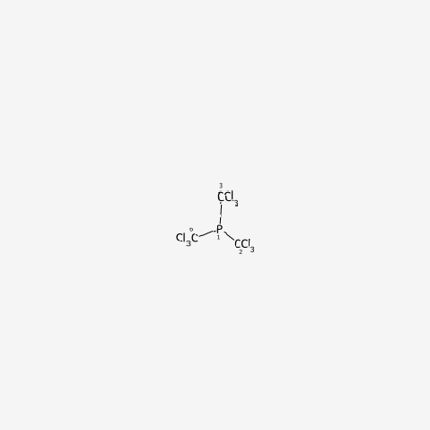 ClC(Cl)(Cl)P(C(Cl)(Cl)Cl)C(Cl)(Cl)Cl